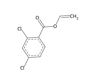 C=COC(=O)c1ccc(Cl)cc1Cl